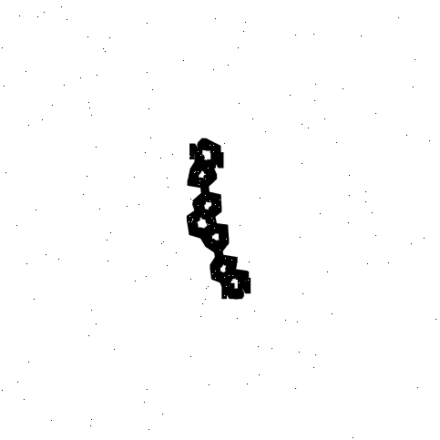 c1ncc2cc(-c3ccc4c(ccc5cc(-c6ccc7nccnc7c6)ccc54)c3)ccc2n1